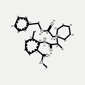 COC(=O)c1cccc(C)c1NC(=O)C(C)[N+]1(CC(=O)OCc2ccccc2)CCCCC1